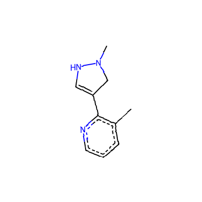 Cc1cccnc1C1=CNN(C)C1